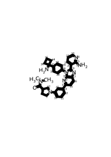 CN(C)C(=O)C1CCN(c2cccc(-c3ccc4nc(-c5cccnc5N)n(-c5ccc(C6(N)CCC6)cc5)c4n3)c2)C1